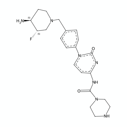 N[C@H]1CCN(Cc2ccc(-n3ccc(NC(=O)N4CCNCC4)nc3=O)cc2)C[C@@H]1F